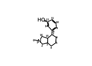 CN1CC2CCCC(c3cccc(O)c3)C2C1